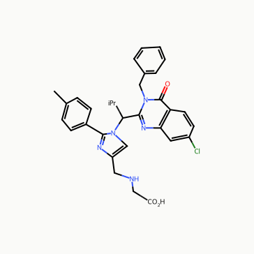 Cc1ccc(-c2nc(CNCC(=O)O)cn2C(c2nc3cc(Cl)ccc3c(=O)n2Cc2ccccc2)C(C)C)cc1